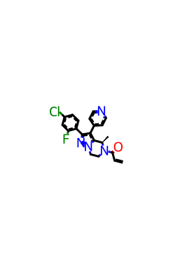 C=CC(=O)N1CCn2nc(-c3ccc(Cl)cc3F)c(-c3ccncc3)c2[C@H]1C